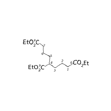 CCOC(=O)CCCC(CCCC(=O)OCC)C(=O)OCC